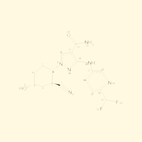 N#C[C@H]1C[C@H](O)CC[C@@H]1n1cc(C(N)=O)c(Nc2ccc(C(F)F)nc2)n1